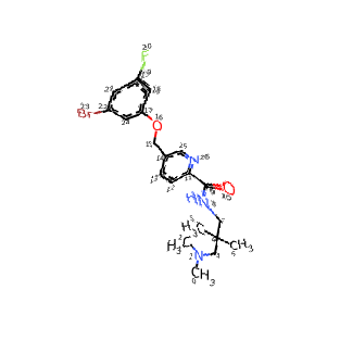 CN(C)CC(C)(C)CNC(=O)c1ccc(COc2cc(F)cc(Br)c2)cn1